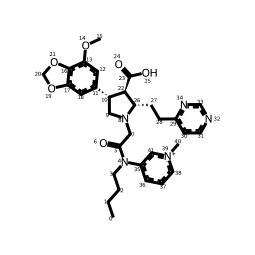 CCCCN(C(=O)CN1C[C@H](c2cc(OC)c3c(c2)OCO3)[C@@H](C(=O)O)[C@@H]1CCc1ccncn1)c1ccc[n+](C)c1